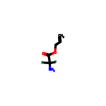 C=CCOC(=O)C(N)(F)F